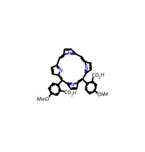 COc1ccc(C2=C3C=CC(=N3)C=C3C=CC(=N3)C=C3C=CC(=N3)C(c3ccc(OC)cc3C(=O)O)=C3C=CC2=N3)c(C(=O)O)c1